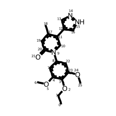 CCOc1c(OC)cc(-n2cc(-c3cn[nH]c3)c(C)cc2=O)cc1OC